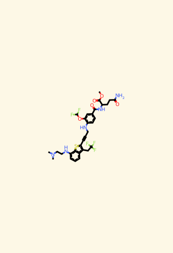 COC(=O)C(CCC(N)=O)NC(=O)c1ccc(NCC#Cc2sc3c(NCCN(C)C)cccc3c2CC(F)(F)F)c(OC(F)F)c1